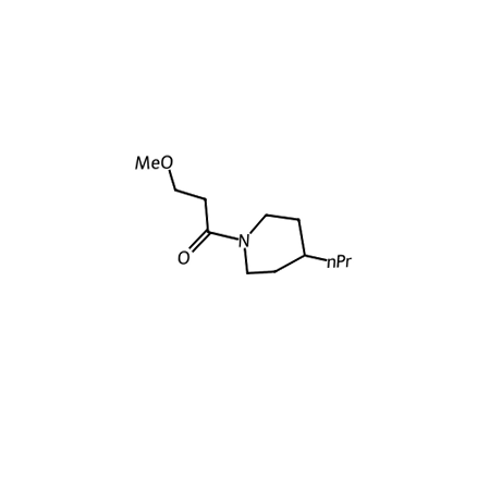 CCCC1CCN(C(=O)CCOC)CC1